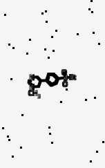 CCS(=O)(=O)c1ccc(C2CN=CN(C)C2)cc1